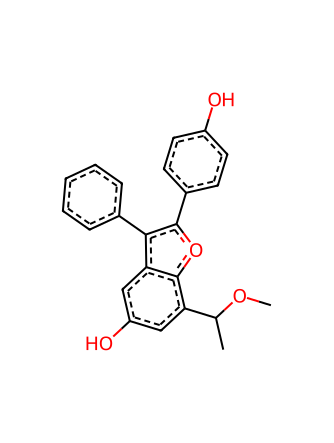 COC(C)c1cc(O)cc2c(-c3ccccc3)c(-c3ccc(O)cc3)oc12